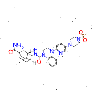 CS(=O)(=O)N1CCN(c2ccc(N3CCN(C(=O)NC4[C@@H]5CC6C[C@H]4CC(C(N)=O)(C6)C5)c4ccccc43)nc2)CC1